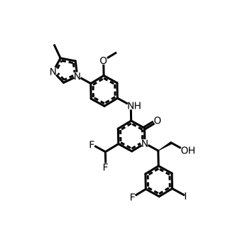 COc1cc(Nc2cc(C(F)F)cn([C@@H](CO)c3cc(F)cc(I)c3)c2=O)ccc1-n1cnc(C)c1